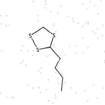 CCCCC1SCSS1